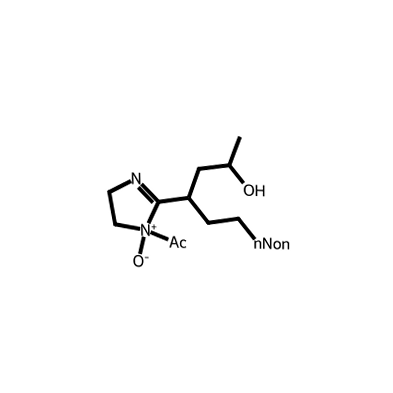 CCCCCCCCCCCC(CC(C)O)C1=NCC[N+]1([O-])C(C)=O